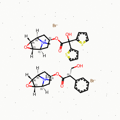 CC[N+]1(C)[C@@H]2C[C@@H](OC(=O)[C@H](CO)c3ccccc3)C[C@H]1[C@@H]1O[C@@H]12.C[N+]1(C)[C@@H]2C[C@@H](OC(=O)C(O)(c3cccs3)c3cccs3)C[C@H]1[C@@H]1O[C@@H]12.[Br-].[Br-]